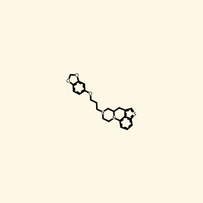 c1cc2c3c(csc3c1)CC1CN(CCCOc3ccc4c(c3)OCO4)CCN21